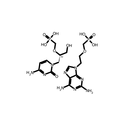 Nc1ccn(C[C@@H](CO)OCP(=O)(O)O)c(=O)n1.Nc1nc(N)c2ncn(CCOCP(=O)(O)O)c2n1